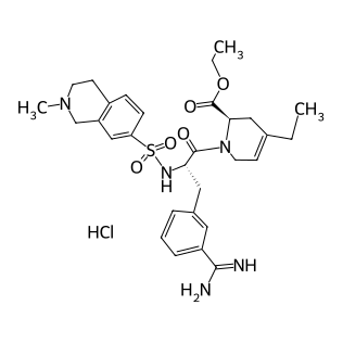 CCOC(=O)[C@H]1CC(CC)=CCN1C(=O)[C@H](Cc1cccc(C(=N)N)c1)NS(=O)(=O)c1ccc2c(c1)CN(C)CC2.Cl